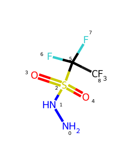 NNS(=O)(=O)C(F)(F)C(F)(F)F